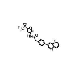 O=C(Cc1ccc(-c2cnc3cccnc3c2)cc1)Nc1cc(C2(C(F)(F)F)CC2)on1